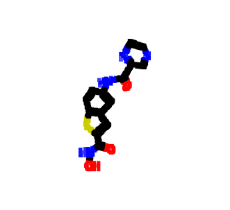 O=C(Nc1ccc2sc(C(=O)NO)cc2c1)c1cnccn1